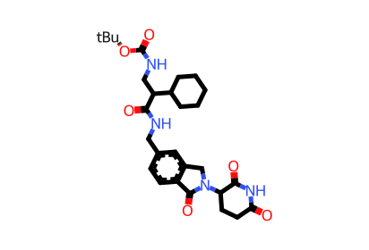 CC(C)(C)OC(=O)NCC(C(=O)NCc1ccc2c(c1)CN(C1CCC(=O)NC1=O)C2=O)C1CCCCC1